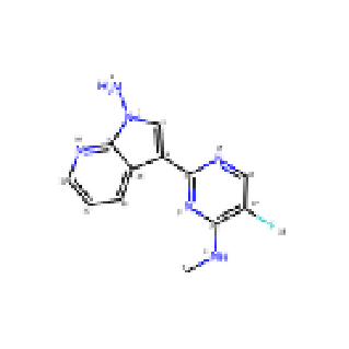 CNc1nc(-c2cn(N)c3ncccc23)ncc1F